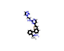 CC(N)c1ccccc1-c1cccc2cc(-c3ccnc(NCCn4ccnn4)n3)sc12